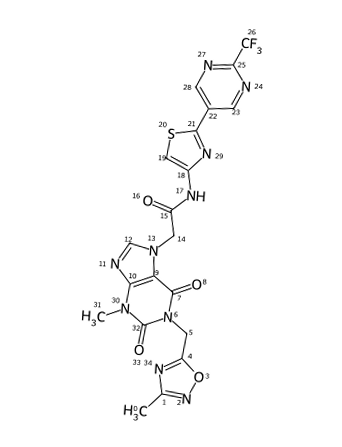 Cc1noc(Cn2c(=O)c3c(ncn3CC(=O)Nc3csc(-c4cnc(C(F)(F)F)nc4)n3)n(C)c2=O)n1